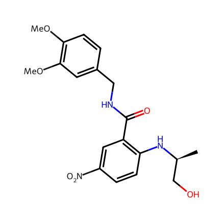 COc1ccc(CNC(=O)c2cc([N+](=O)[O-])ccc2N[C@@H](C)CO)cc1OC